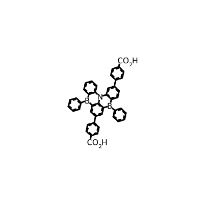 O=C(O)c1ccc(-c2cc3c4c(c2)B(c2ccccc2)c2ccc(-c5ccc(C(=O)O)cc5)cc2N4c2ccccc2B3c2ccccc2)cc1